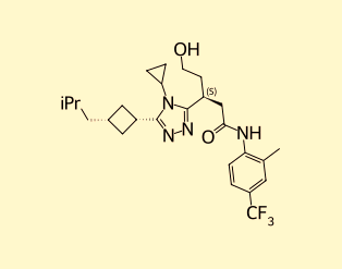 Cc1cc(C(F)(F)F)ccc1NC(=O)C[C@H](CCO)c1nnc([C@H]2C[C@@H](CC(C)C)C2)n1C1CC1